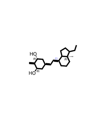 C=C1[C@H](O)CC(=C/C=C2\CCC[C@]3(C)C(CC)CCC23)C[C@H]1O